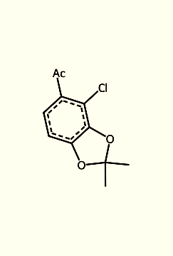 CC(=O)c1ccc2c(c1Cl)OC(C)(C)O2